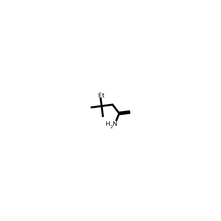 C=C(N)CC(C)(C)CC